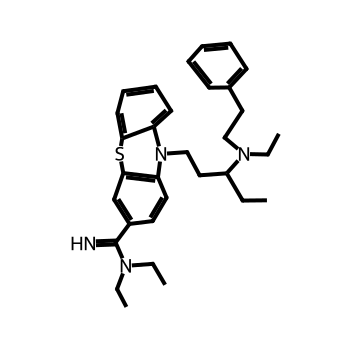 CCC(CCN1c2ccccc2Sc2cc(C(=N)N(CC)CC)ccc21)N(CC)CCc1ccccc1